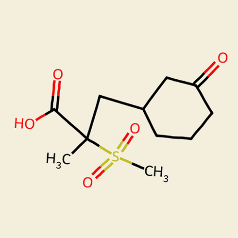 CC(CC1CCCC(=O)C1)(C(=O)O)S(C)(=O)=O